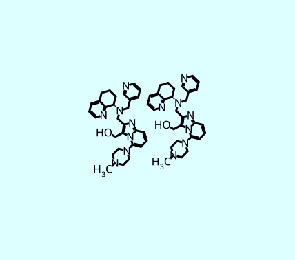 CN1CCN(c2cccc3nc(CN(Cc4cccnc4)[C@H]4CCCc5cccnc54)c(CO)n23)CC1.CN1CCN(c2cccc3nc(CN(Cc4cccnc4)[C@H]4CCCc5cccnc54)c(CO)n23)CC1